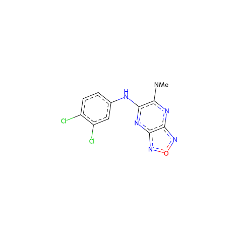 CNc1nc2nonc2nc1Nc1ccc(Cl)c(Cl)c1